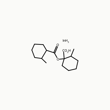 CC1CCCCC1C(=O)OC1(C(=O)O)CCCCC1C.[InH3]